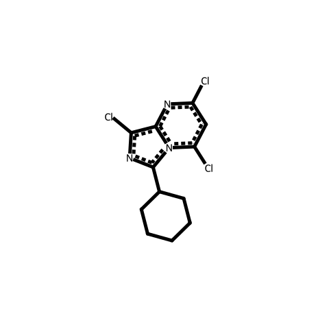 Clc1cc(Cl)n2c(C3CCCCC3)nc(Cl)c2n1